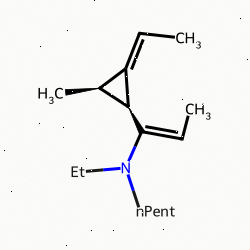 C/C=C1/[C@H](C)[C@@H]1/C(=C\C)N(CC)CCCCC